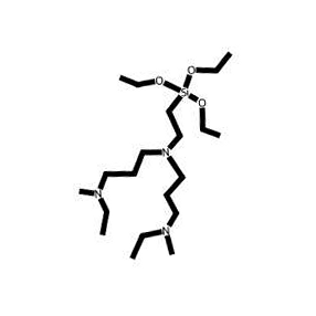 CCO[Si](CCN(CCCN(C)CC)CCCN(C)CC)(OCC)OCC